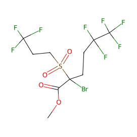 COC(=O)C(Br)(CCC(F)(F)C(F)(F)F)S(=O)(=O)CCC(F)(F)F